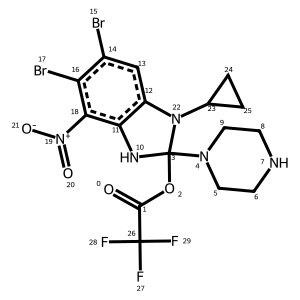 O=C(OC1(N2CCNCC2)Nc2c(cc(Br)c(Br)c2[N+](=O)[O-])N1C1CC1)C(F)(F)F